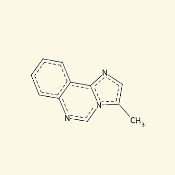 Cc1cnc2c3ccccc3ncn12